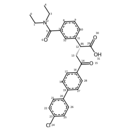 CCN(CC)C(=O)c1cccc([C@@H](CC(=O)c2ccc(-c3ccc(Cl)cc3)cc2)C(=O)O)c1